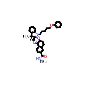 CCCCNC(=O)c1ccc2c3c(ccc2c1)OC1(C=N3)N(CCCCCOc2ccccc2)c2ccccc2C1(C)C